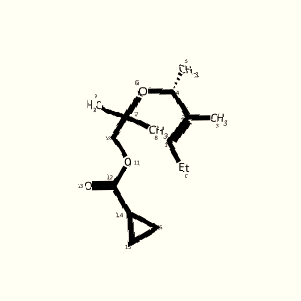 CCC=C(C)[C@@H](C)OC(C)(C)COC(=O)C1CC1